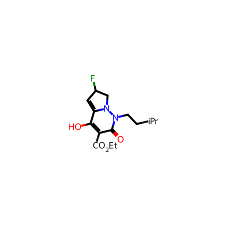 CCOC(=O)C1=C(O)C2=CC(F)CN2N(CCC(C)C)C1=O